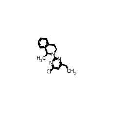 CCc1cc(Cl)nc(N2CCc3ccccc3C2C)n1